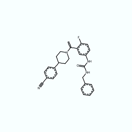 C=C(c1cc(NC(=O)NCc2ccccc2)ccc1F)N1CCC(c2ccc(C#N)cc2)CC1